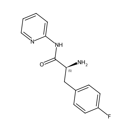 N[C@@H](Cc1ccc(F)cc1)C(=O)Nc1ccccn1